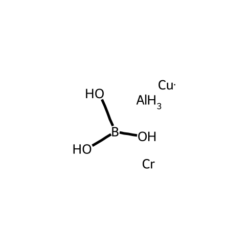 OB(O)O.[AlH3].[Cr].[Cu]